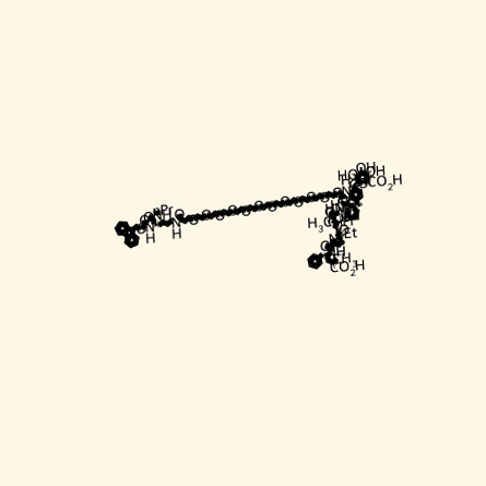 CCCNC(=O)[C@H](CCCCNC(=O)CCOCCOCCOCCOCCOCCOCCOCCOCCOCCOCCOCCOC(=O)Nc1cc(C[N+]2(C)CCCC[C@@H]2C(=O)N[C@H](C(=O)N(C)[C@H](C[C@@H](OCC)c2nc(C(=O)N[C@@H](Cc3ccccc3)C[C@H](C)C(=O)O)cs2)C(C)C)[C@@H](C)CC)ccc1O[C@@H]1O[C@H](C(=O)O)[C@@H](O)[C@H](O)[C@H]1O)NC(=O)OCC1c2ccccc2-c2ccccc21